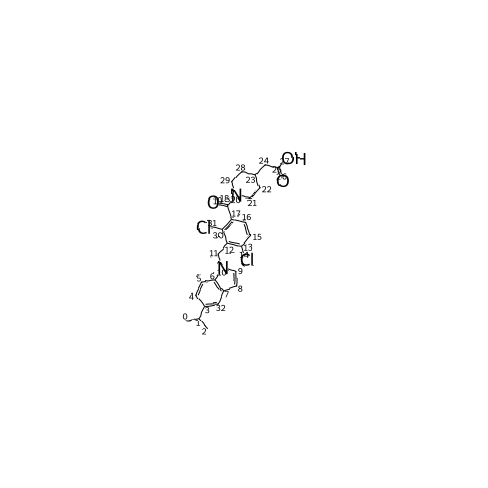 CC(C)c1ccc2c(ccn2Cc2c(Cl)ccc(C(=O)N3CCC(CC(=O)O)CC3)c2Cl)c1